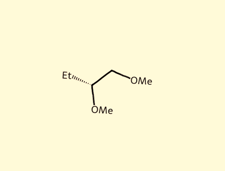 CC[C@H](COC)OC